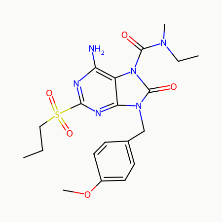 CCCS(=O)(=O)c1nc(N)c2c(n1)n(Cc1ccc(OC)cc1)c(=O)n2C(=O)N(C)CC